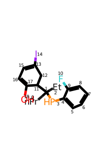 CCCC(CC)(Pc1ccccc1F)C1CC(I)=CC=C1O